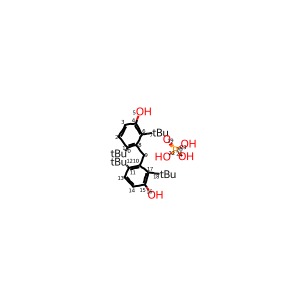 CC(C)(C)c1ccc(O)c(C(C)(C)C)c1Cc1c(C(C)(C)C)ccc(O)c1C(C)(C)C.O=P(O)(O)O